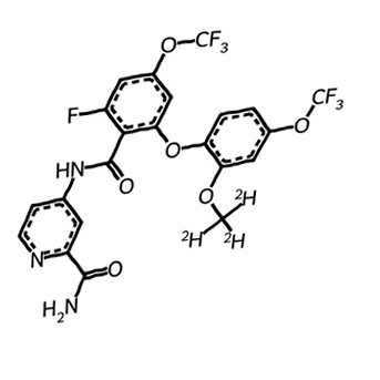 [2H]C([2H])([2H])Oc1cc(OC(F)(F)F)ccc1Oc1cc(OC(F)(F)F)cc(F)c1C(=O)Nc1ccnc(C(N)=O)c1